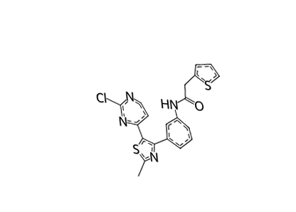 Cc1nc(-c2cccc(NC(=O)Cc3cccs3)c2)c(-c2ccnc(Cl)n2)s1